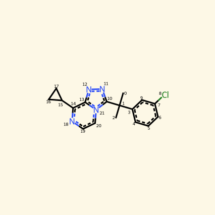 CC(C)(c1cccc(Cl)c1)c1nnc2c(C3CC3)nccn12